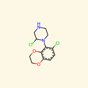 Clc1ccc2c(c1N1CCNCC1Cl)OCCO2